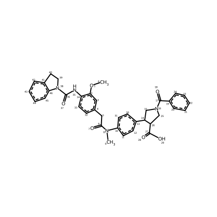 COc1cc(CC(=O)N(C)c2ccc(C3CN(C(=O)c4ccccc4)CC3C(=O)O)cc2)ccc1NC(=O)N1CCc2ccccc21